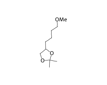 COCCCCC1COC(C)(C)O1